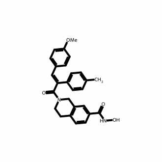 COc1ccc(C=C(C(=O)N2CCc3ccc(C(=O)NO)cc3C2)c2ccc(C)cc2)cc1